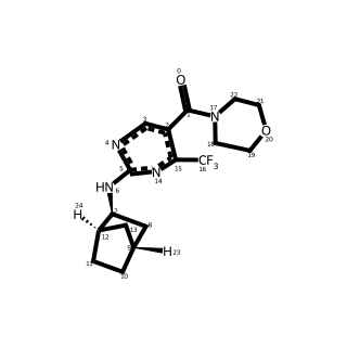 O=C(c1cnc(N[C@H]2C[C@@H]3CC[C@@H]2C3)nc1C(F)(F)F)N1CCOCC1